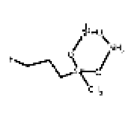 C[Si]1(CCCF)O[SiH2]O[SiH2]O1